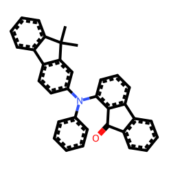 CC1(C)c2ccccc2-c2ccc(N(c3ccccc3)c3cccc4c3C(=O)c3ccccc3-4)cc21